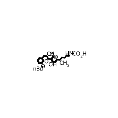 CCCCOc1cccc(C=C(C)C(=O)c2c(O)cc(C(C)CCC=CNC(=O)O)oc2=O)c1